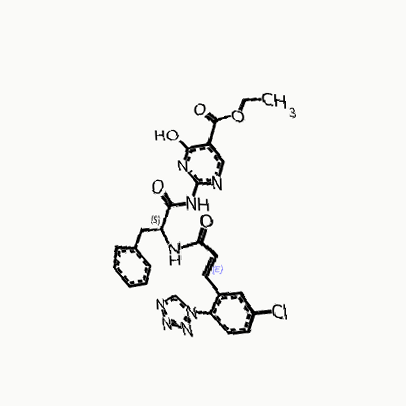 CCOC(=O)c1cnc(NC(=O)[C@H](Cc2ccccc2)NC(=O)/C=C/c2cc(Cl)ccc2-n2cnnn2)nc1O